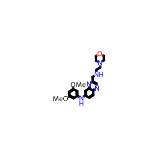 COc1cc(Nc2ccc3ncc(CNCCN4CCOCC4)nc3c2)cc(OC)c1